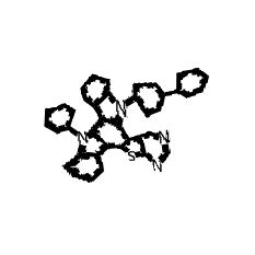 c1ccc(-c2ccc(-n3c4ccccc4c4c5c(c6ccccc6n5-c5ccccc5)c5sc6ncncc6c5c43)cc2)cc1